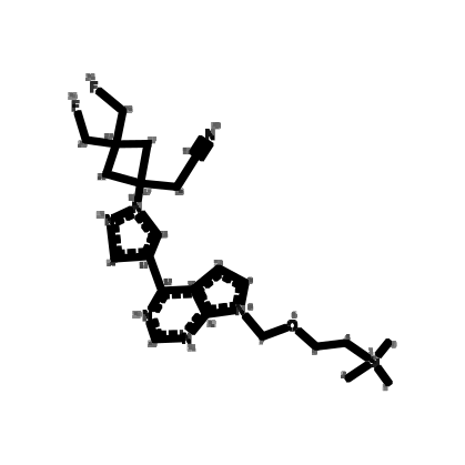 C[Si](C)(C)CCOCn1ccc2c(-c3cnn(C4(CC#N)CC(CF)(CF)C4)c3)ncnc21